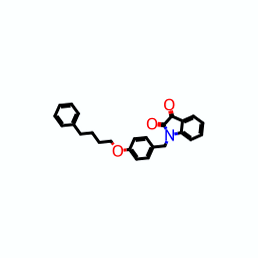 O=C1C(=O)N(Cc2ccc(OCCCCc3ccccc3)cc2)c2ccccc21